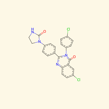 O=C1NCCN1c1ccc(-c2nc3ccc(Cl)cc3c(=O)n2-c2ccc(Cl)cc2)cc1